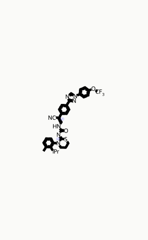 Cc1cccc(N2CCCS/C2=N\C(=O)N/C=C(\C#N)c2ccc(-c3ncn(-c4ccc(OC(F)(F)F)cc4)n3)cc2)c1C(C)C